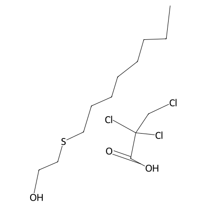 CCCCCCCCSCCO.O=C(O)C(Cl)(Cl)CCl